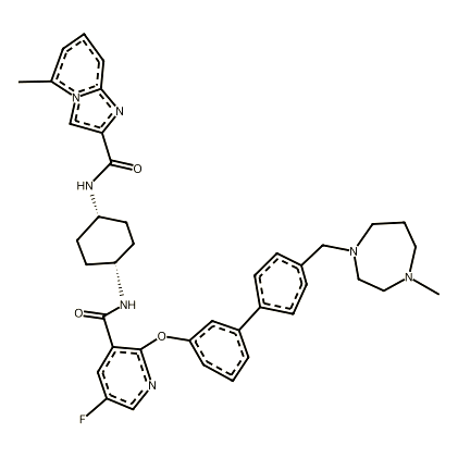 Cc1cccc2nc(C(=O)N[C@H]3CC[C@@H](NC(=O)c4cc(F)cnc4Oc4cccc(-c5ccc(CN6CCCN(C)CC6)cc5)c4)CC3)cn12